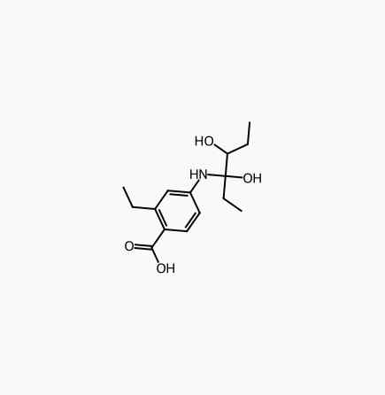 CCc1cc(NC(O)(CC)C(O)CC)ccc1C(=O)O